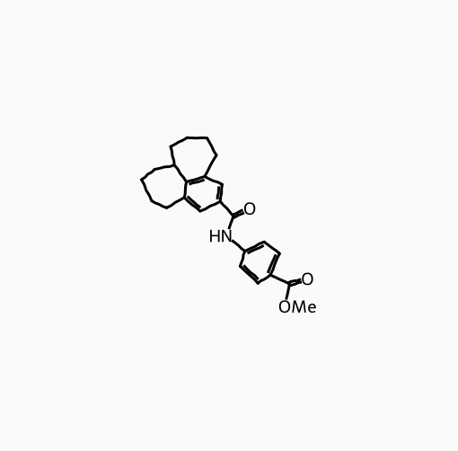 COC(=O)c1ccc(NC(=O)c2cc3c4c(c2)CCCCC4CCCC3)cc1